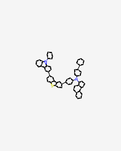 c1ccc(-c2ccc(N(c3ccc(-c4ccc5sc6ccc(-c7ccc8c(c7)c7ccccc7n8-c7ccccc7)cc6c5c4)cc3)c3cccc4c3ccc3ccccc34)cc2)cc1